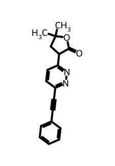 CC1(C)CC(c2ccc(C#Cc3ccccc3)nn2)C(=O)O1